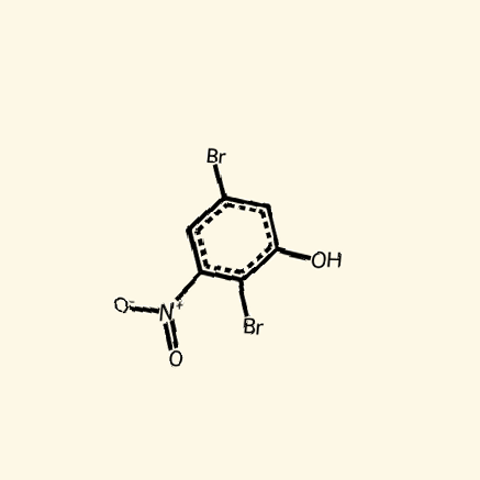 O=[N+]([O-])c1cc(Br)cc(O)c1Br